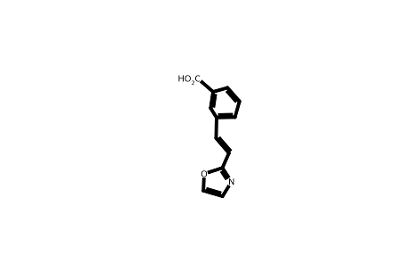 O=C(O)c1cccc(/C=C/c2ncco2)c1